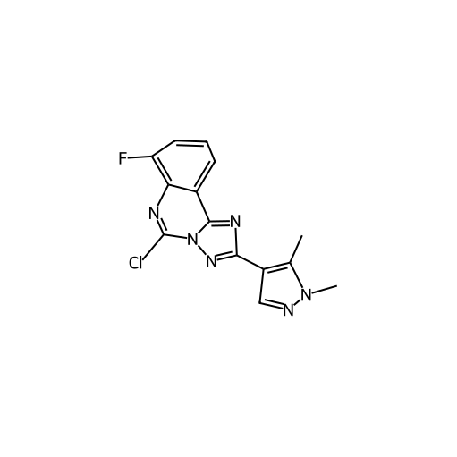 Cc1c(-c2nc3c4cccc(F)c4nc(Cl)n3n2)cnn1C